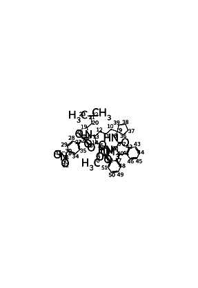 COC(=O)N[C@H](C(=O)NC1(CCCC(C(=O)OC)N(CCC(C)C)S(=O)(=O)c2ccc([N+](=O)[O-])cc2)CCCC1)C(c1ccccc1)c1ccccc1